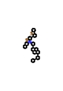 c1ccc(-c2cccc(-c3ccc4ccc5c(-c6cccc(N7c8cc(-c9cccc%10c9sc9ccccc9%10)ccc8Sc8cc9ccccc9cc87)c6)ccc6ccc3c4c65)c2)cc1